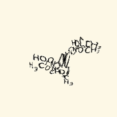 CC#CCn1c(N2CCN(C(=O)OC(C)(C)C)CC2)nc2nc(OC(C)C(=O)O)n(C)c(=O)c21